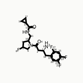 N[C@@H](CC(=O)N1CC(F)CC1CNC(=O)C1CC1)Cc1cc(F)c(F)cc1F